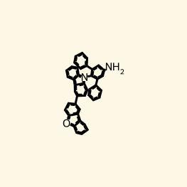 Nc1cc(-c2ccccc2)c(-n2c3ccccc3c3cc(-c4ccc5oc6ccccc6c5c4)ccc32)c(-c2ccccc2)c1